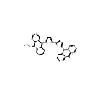 CCCCCCCCCCCCc1c2ccccc2c(-c2ccc(-c3ccc(-c4c5ccccc5c(CC)c5ccccc45)s3)s2)c2ccccc12